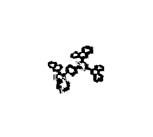 c1ccc2cc(-c3nc4cnccn4c3-c3ccc(-c4nc(-c5cc6ccccc6c6ccccc56)cc(-c5cc6ccccc6c6ccccc56)n4)cc3)ccc2c1